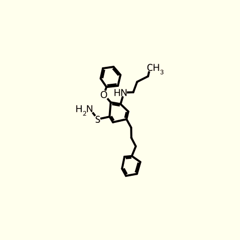 CCCCNc1cc(CCCc2ccccc2)cc(SN)c1Oc1ccccc1